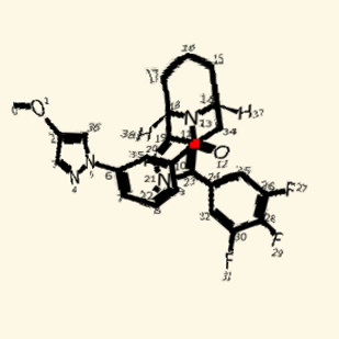 COc1cnn(-c2cccc(C(=O)N3[C@@H]4CCC[C@H]3c3nn(C)c(-c5cc(F)c(F)c(F)c5)c3C4)c2)c1